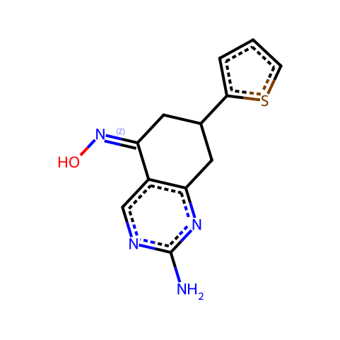 Nc1ncc2c(n1)CC(c1cccs1)C/C2=N/O